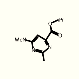 CNc1cc(C(=O)OC(C)C)nc(C)n1